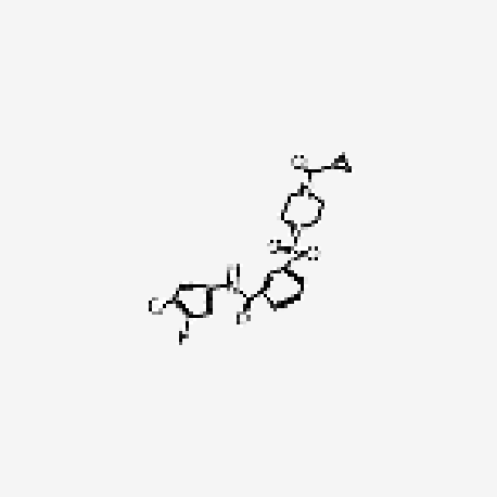 O=C(Nc1ccc(Cl)c(F)c1)c1cccc(S(=O)(=O)N2CCN(C(=O)C3CC3)CC2)c1